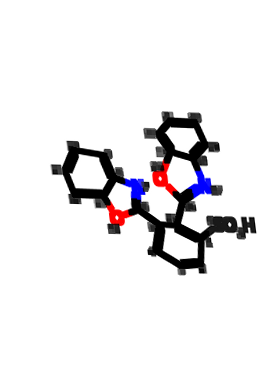 O=S(=O)(O)c1cccc(-c2nc3ccccc3o2)c1-c1nc2ccccc2o1